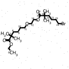 CCOC(=O)C(C)(C)CCCCOCCOC(=O)C(C)(C)CCCCBr